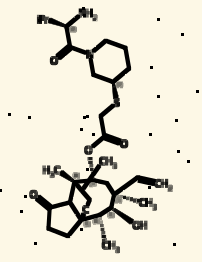 C=C[C@]1(C)C[C@@H](OC(=O)CS[C@@H]2CCCN(C(=O)[C@H](N)C(C)C)C2)[C@]2(C)C(C)CC[C@]3(CCC(=O)C32)[C@@H](C)[C@@H]1O